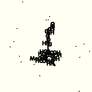 C#CCNC(=O)CCCCCO[C@H]1[C@H](O)[C@@H](O)[C@@H](OC)O[C@@H]1CO[C@H]1O[C@H](CO[C@H]2O[C@H](CO)[C@@H](O)[C@H](O)[C@H]2O)[C@@H](OCCCCCC(=O)NCCOCCOCCNC(=O)C2CCC(CN3C(=O)C=CC3=O)CC2)[C@H](O)[C@H]1O